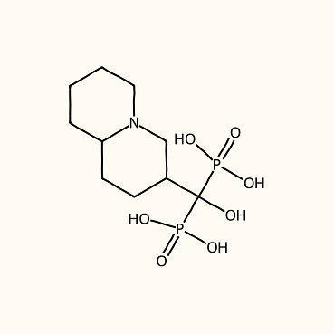 O=P(O)(O)C(O)(C1CCC2CCCCN2C1)P(=O)(O)O